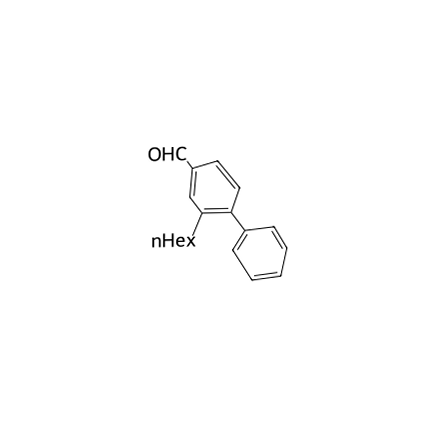 CCCCCCc1cc(C=O)ccc1-c1ccccc1